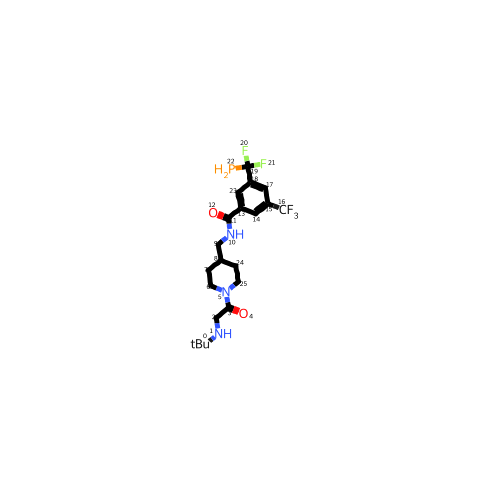 CC(C)(C)NCC(=O)N1CCC(CNC(=O)c2cc(C(F)(F)F)cc(C(F)(F)P)c2)CC1